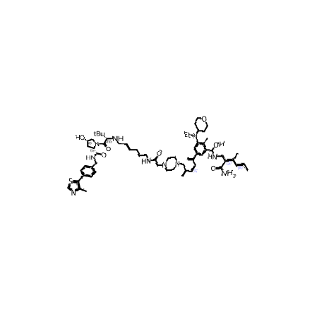 C=C(/C=C\C(=C)c1cc(C(O)NC/C(C(N)=O)=C(C)/C=C/C)c(C)c(N(CC)C2CCOCC2)c1)CN1CCN(CC(=O)NCCCCCCN[C@H](C(=O)N2C[C@H](O)C[C@H]2C(=O)NCc2ccc(-c3scnc3C)cc2)C(C)(C)C)CC1